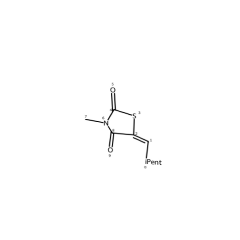 CCCC(C)/C=C1/SC(=O)N(C)C1=O